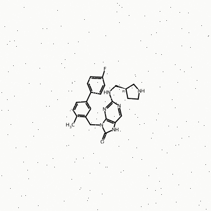 Cc1ccc(-c2ccc(F)cc2)cc1Cn1c(=O)[nH]c2cnc(NC[C@@H]3CCNC3)nc21